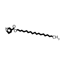 CCCCCCCCCCCCCCCCCCOC(=O)c1cccnc1